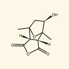 CC12C[C@@H](O)C(C)(O1)[C@@H]1C(=O)OC(=O)[C@@H]12